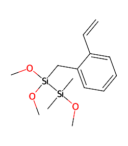 C=Cc1ccccc1C[Si](OC)(OC)[Si](C)(C)OC